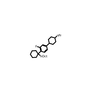 CCCCCCCCC1(c2ccc(C3CCC(CCC)CC3)cc2F)CCCCC1